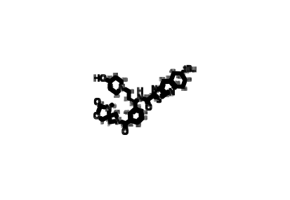 CN1C(=O)OCC12CN(C(=O)c1cccc([C@@H](CCN3CCC(O)CC3)NC(=O)c3nc4cc5c(nc4s3)CC[C@H](C(C)(C)C)C5)c1)C2